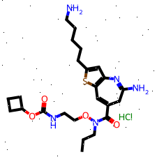 CCCN(OCCNC(=O)OC1CCC1)C(=O)C1=Cc2sc(CCCCCN)cc2N=C(N)C1.Cl